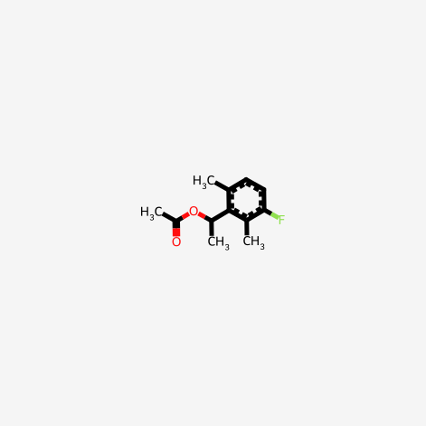 CC(=O)OC(C)c1c(C)ccc(F)c1C